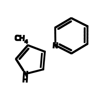 C.c1cc[nH]c1.c1ccncc1